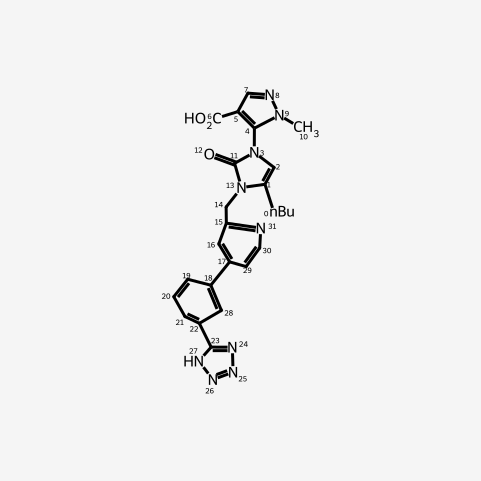 CCCCc1cn(-c2c(C(=O)O)cnn2C)c(=O)n1Cc1cc(-c2cccc(-c3nnn[nH]3)c2)ccn1